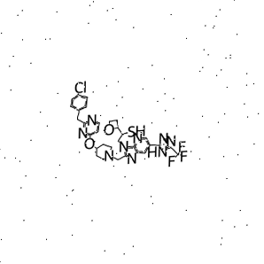 FC(F)(F)c1nnc(-c2cnc3c(c2)nc(CN2CCC(Oc4ccnc(Cc5ccc(Cl)cc5)n4)CC2)n3C[C@H](S)[C@@H]2CCO2)[nH]1